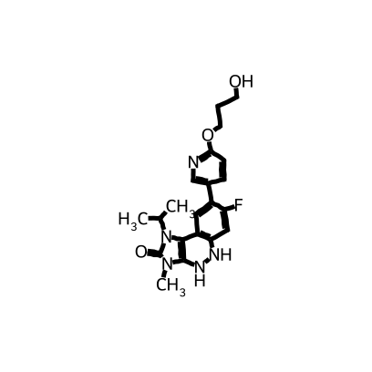 CC(C)n1c2c(n(C)c1=O)NNc1cc(F)c(-c3ccc(OCCCO)nc3)cc1-2